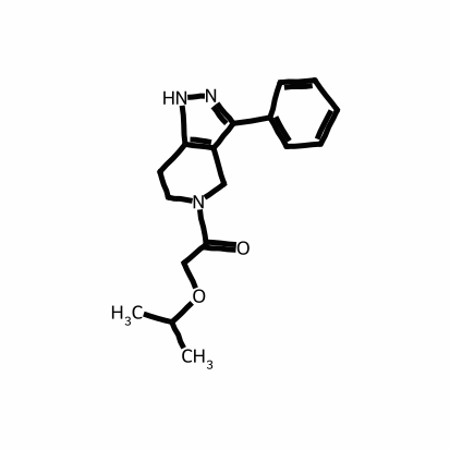 CC(C)OCC(=O)N1CCc2[nH]nc(-c3ccccc3)c2C1